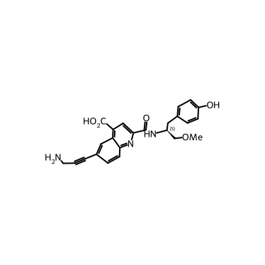 COC[C@H](Cc1ccc(O)cc1)NC(=O)c1cc(C(=O)O)c2cc(C#CCN)ccc2n1